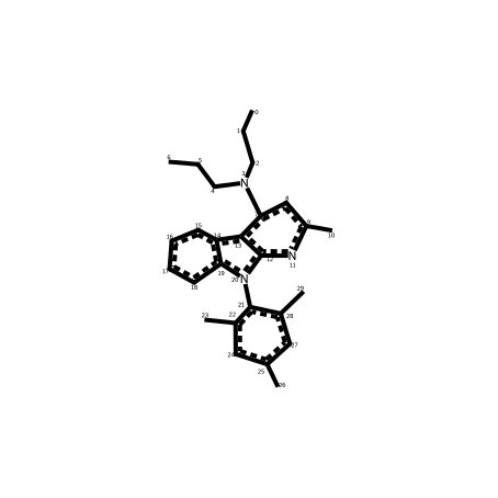 CCCN(CCC)c1cc(C)nc2c1c1ccccc1n2-c1c(C)cc(C)cc1C